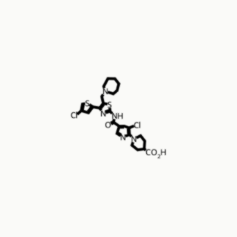 O=C(Nc1nc(-c2cc(Cl)cs2)c(CN2CCCCCC2)s1)c1cnc(N2CCC(C(=O)O)CC2)c(Cl)c1